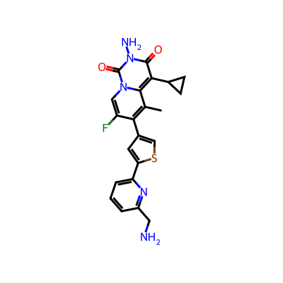 Cc1c(-c2csc(-c3cccc(CN)n3)c2)c(F)cn2c(=O)n(N)c(=O)c(C3CC3)c12